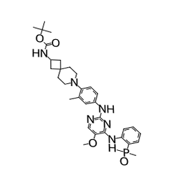 COc1cnc(Nc2ccc(N3CCC4(CC3)CC(NC(=O)OC(C)(C)C)C4)c(C)c2)nc1Nc1ccccc1P(C)(C)=O